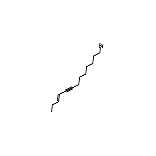 CCC=CC#CCCCCCCCBr